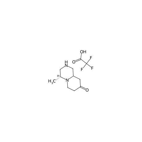 C[C@@H]1CNCC2CC(=O)CCN21.O=C(O)C(F)(F)F